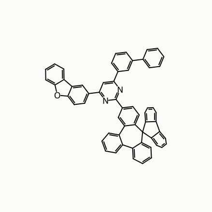 c1ccc(-c2cccc(-c3cc(-c4ccc5oc6ccccc6c5c4)nc(-c4ccc5c(c4)-c4ccccc4-c4ccccc4C54c5ccccc5-c5ccccc54)n3)c2)cc1